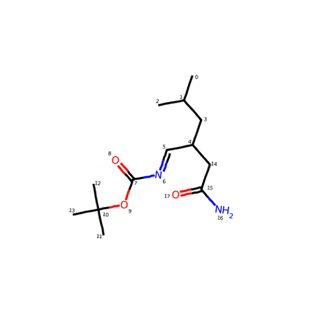 CC(C)CC(C=NC(=O)OC(C)(C)C)CC(N)=O